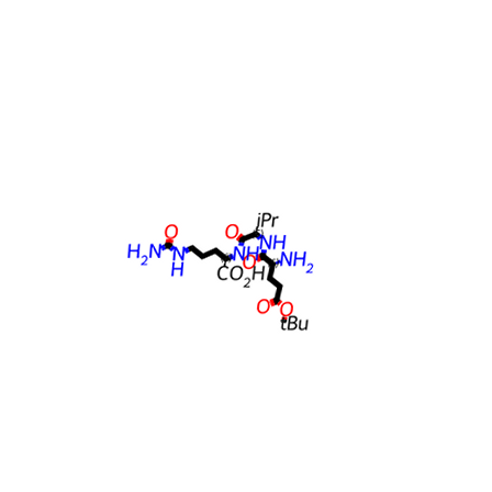 CC(C)[C@H](NC(=O)[C@@H](N)CCC(=O)OC(C)(C)C)C(=O)N[C@@H](CCCNC(N)=O)C(=O)O